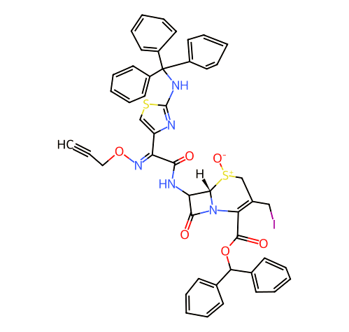 C#CCON=C(C(=O)NC1C(=O)N2C(C(=O)OC(c3ccccc3)c3ccccc3)=C(CI)C[S+]([O-])[C@@H]12)c1csc(NC(c2ccccc2)(c2ccccc2)c2ccccc2)n1